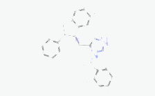 C(=C1/c2ccccc2CC1c1ccccc1)/c1cncn1Cc1ccccc1